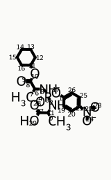 CC(NP(=O)(NC(C)C(=O)OC1CCCCC1)Oc1ccc([N+](=O)[O-])cc1)C(=O)O